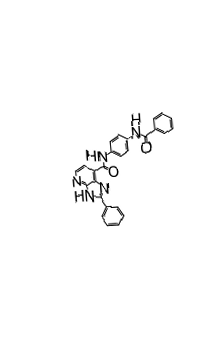 O=C(Nc1ccc(NC(=O)c2ccnc3[nH]c(-c4ccccc4)nc23)cc1)c1ccccc1